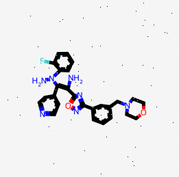 N/C(=C(/c1ccncc1)N(N)c1ccccc1F)c1nc(-c2cccc(CN3CCOCC3)c2)no1